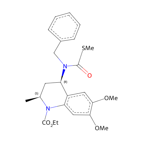 CCOC(=O)N1c2cc(OC)c(OC)cc2[C@H](N(Cc2ccccc2)C(=O)SC)C[C@@H]1C